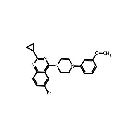 COc1cccc(N2CCN(c3nc(C4CC4)nc4ccc(Br)cc34)CC2)c1